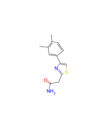 Cc1ccc(-c2csc(CC(N)=O)n2)cc1C